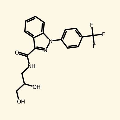 O=C(NCC(O)CO)c1nn(-c2ccc(C(F)(F)F)cc2)c2ccccc12